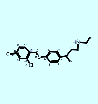 CCNCCC(C)c1ccc(SCc2ccc(Cl)cc2Cl)cc1